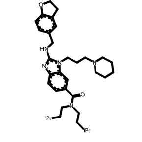 CC(C)CCN(CCC(C)C)C(=O)c1ccc2nc(NCc3ccc4c(c3)CCO4)n(CCCN3CCCCC3)c2c1